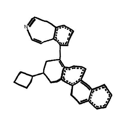 [c]1ccc2c(c1C1=c3ccc4c(c3CC(C3CCC3)C1)CC=c1ccccc1=4)C=CN=CC2